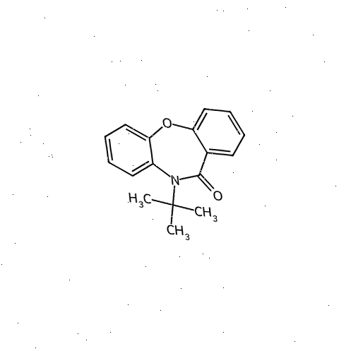 CC(C)(C)N1C(=O)c2ccccc2Oc2ccccc21